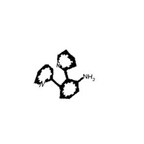 Nc1cccc(-c2ccccn2)c1-c1ccccn1